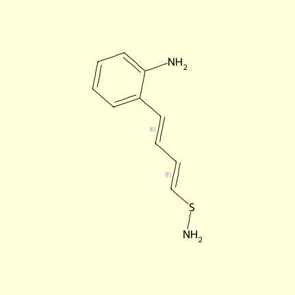 NS/C=C/C=C/c1ccccc1N